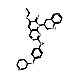 CCOc1cc2cnc(Nc3ccc(OC4CCCNC4)cc3)nc2n(C2CNc3ccccc3C2)c1=O